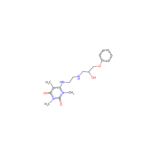 Cc1c(NCCNCC(O)COc2ccccc2)n(C)c(=O)n(C)c1=O